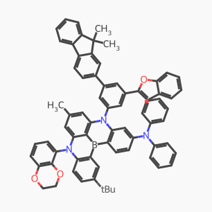 Cc1cc2c3c(c1)N(c1cccc4c1OCCO4)c1ccc(C(C)(C)C)cc1B3c1ccc(N(c3ccccc3)c3ccccc3)cc1N2c1cc(-c2ccc3c(c2)C(C)(C)c2ccccc2-3)cc(-c2cc3ccccc3o2)c1